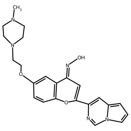 CN1CCN(CCOc2ccc3oc(-c4cc5cccn5cn4)cc(=NO)c3c2)CC1